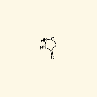 O=C1CONN1